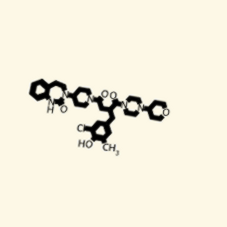 Cc1cc(CC(CC(=O)N2CCC(N3CCc4ccccc4NC3=O)CC2)C(=O)N2CCN(C3CCOCC3)CC2)cc(Cl)c1O